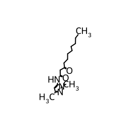 CCCCCCCCCC(=O)CC(=O)Nc1cc(C)nn1C